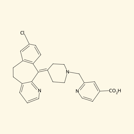 O=C(O)c1ccnc(CN2CCC(=C3c4ccc(Cl)cc4CCc4cccnc43)CC2)c1